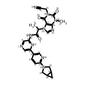 CC(C(=O)Nc1cncc(-c2ccc(N3CC4CC4C3)nc2)n1)n1cnc2c1c(=O)n(CC#N)c(=O)n2C